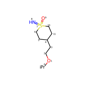 CC(C)OCCC1CCS(=N)(=O)CC1